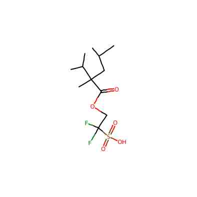 CC(C)CC(C)(C(=O)OCC(F)(F)S(=O)(=O)O)C(C)C